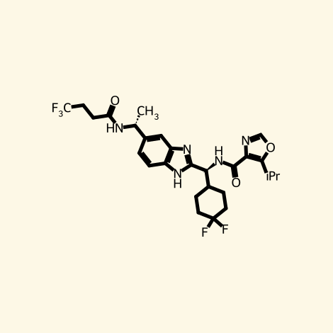 CC(C)c1ocnc1C(=O)N[C@H](c1nc2cc([C@@H](C)NC(=O)CCC(F)(F)F)ccc2[nH]1)C1CCC(F)(F)CC1